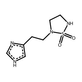 O=S1(=O)NCCN1CCc1c[nH]cn1